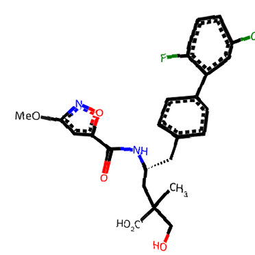 COc1cc(C(=O)N[C@H](Cc2ccc(-c3cc(Cl)ccc3F)cc2)CC(C)(CO)C(=O)O)on1